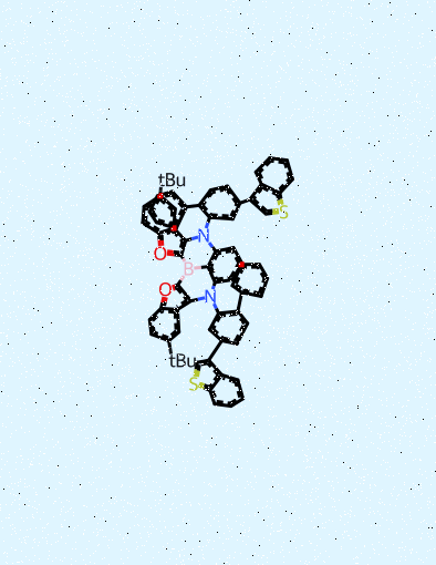 CC(C)(C)c1ccc2oc3c(c2c1)N(c1cc(-c2csc4ccccc24)ccc1-c1ccccc1)c1cccc2c1B3c1oc3ccc(C(C)(C)C)cc3c1N2c1cc(-c2csc3ccccc23)ccc1-c1ccccc1